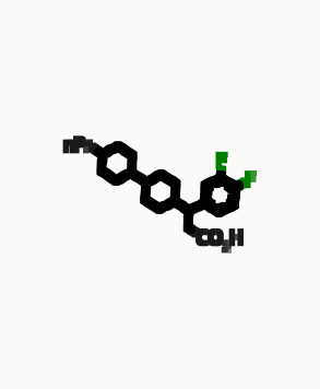 CCCC1CCC(C2CCC(C(CC(=O)O)c3ccc(F)c(F)c3)CC2)CC1